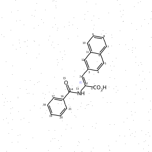 O=C(O)/C(=C\c1ccc2ccccc2c1)NC(=O)c1ccccc1